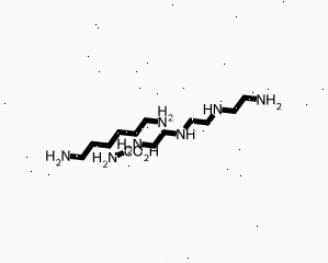 NC(=O)O.NCCCCCCN.NCCNCCNCCN